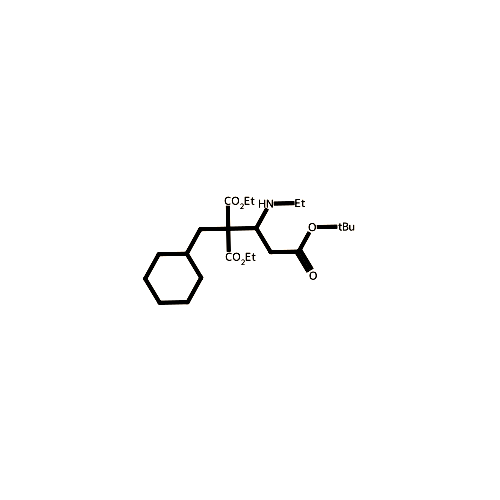 CCNC(CC(=O)OC(C)(C)C)C(CC1CCCCC1)(C(=O)OCC)C(=O)OCC